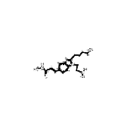 CCN(CC)CCn1c(CCCCC#N)nc2cc(C=CC(=O)NO)ccc21